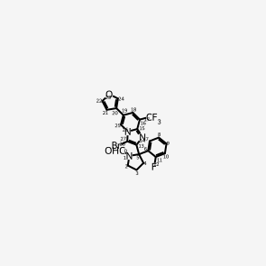 O=CN1CCCC1(c1ccccc1F)c1nc2c(C(F)(F)F)cc(-c3ccoc3)cn2c1Br